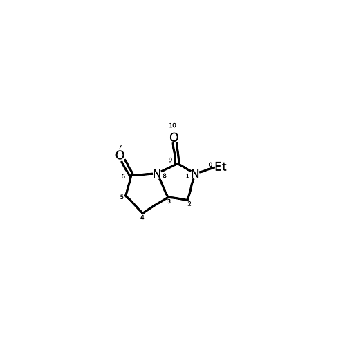 CCN1CC2CCC(=O)N2C1=O